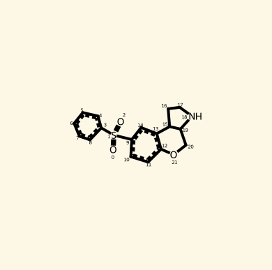 O=S(=O)(c1ccccc1)c1ccc2c(c1)C1CCNC1CO2